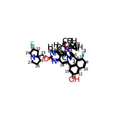 CC(C)[Si](C#Cc1c(F)ccc2cc(O)cc(-c3cc4nc(OC[C@@]56CCCN5C[C@H](F)C6)ncc4c(N(C)C4CC4)n3)c12)(C(C)C)C(C)C